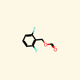 O=[C]OCc1c(F)cccc1F